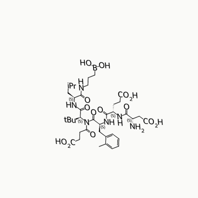 Cc1ccccc1C[C@H](NC(=O)[C@H](CCC(=O)O)NC(=O)[C@@H](N)CC(=O)O)C(=O)N(C(=O)CCC(=O)O)[C@H](C(=O)N[C@@H](CC(C)C)C(=O)NCCCB(O)O)C(C)(C)C